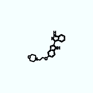 c1ccc2c(-c3cc4cc(OCCN5CCOCC5)ccc4[nH]3)n[nH]c2c1